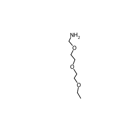 CCOCCOCCOCN